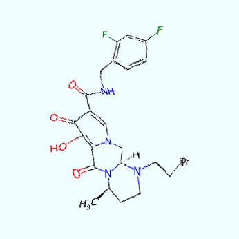 CC(C)CCN1CC[C@@H](C)N2C(=O)c3c(O)c(=O)c(C(=O)NCc4ccc(F)cc4F)cn3C[C@@H]12